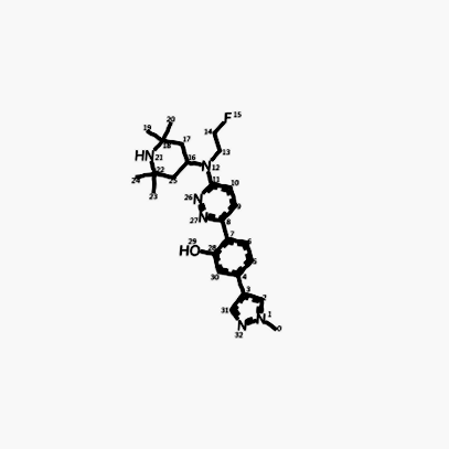 Cn1cc(-c2ccc(-c3ccc(N(CCF)C4CC(C)(C)NC(C)(C)C4)nn3)c(O)c2)cn1